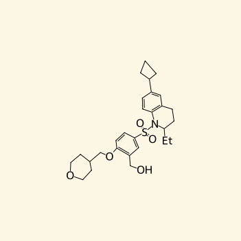 CCC1CCc2cc(C3CCC3)ccc2N1S(=O)(=O)c1ccc(OCC2CCOCC2)c(CO)c1